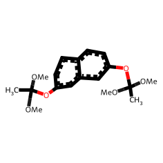 COC(C)(OC)Oc1ccc2ccc(OC(C)(OC)OC)cc2c1